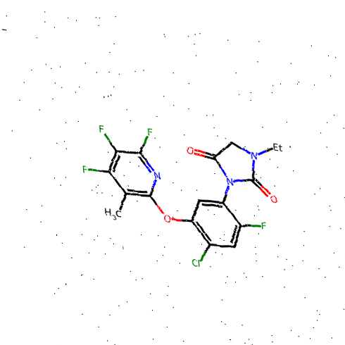 CCN1CC(=O)N(c2cc(Oc3nc(F)c(F)c(F)c3C)c(Cl)cc2F)C1=O